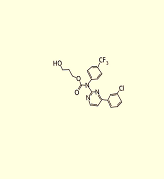 O=C(OCCCO)N(c1ccc(C(F)(F)F)cc1)c1nccc(-c2cccc(Cl)c2)n1